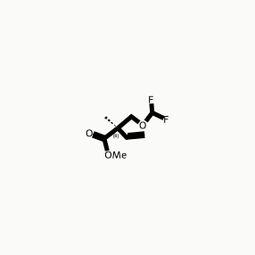 C=C[C@](C)(COC(F)F)C(=O)OC